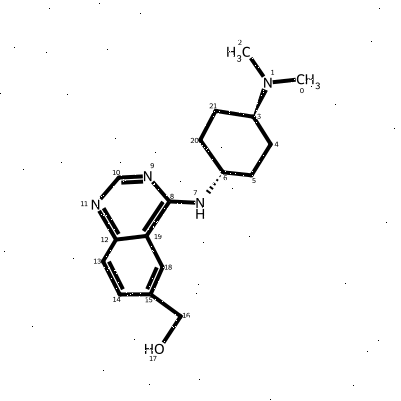 CN(C)[C@H]1CC[C@H](Nc2ncnc3ccc(CO)cc23)CC1